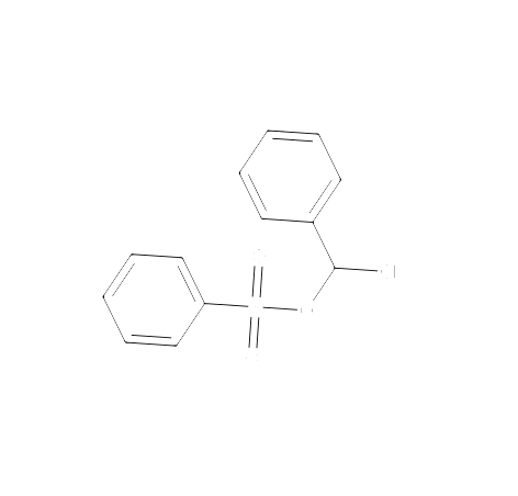 CC(OS(=O)(=O)c1ccccc1)c1ccccc1